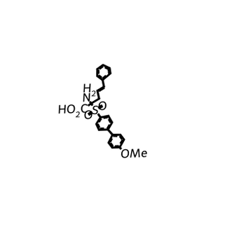 COc1ccc(-c2ccc(S(=O)(=O)C(N)(CC=Cc3ccccc3)C(=O)O)cc2)cc1